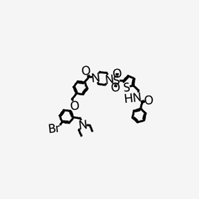 CCN(CC)Cc1cc(Br)ccc1OCc1ccc(C(=O)N2CCN(S(=O)(=O)c3ccc(CNC(=O)c4ccccc4)s3)CC2)cc1